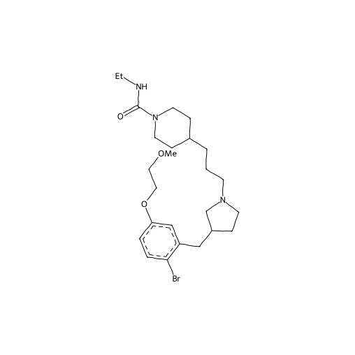 CCNC(=O)N1CCC(CCCN2CCC(Cc3cc(OCCOC)ccc3Br)C2)CC1